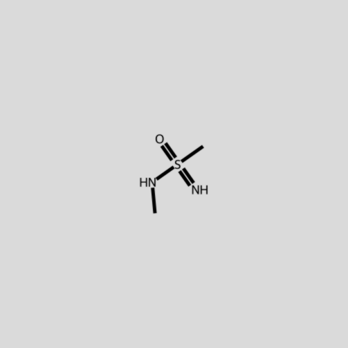 CNS(C)(=N)=O